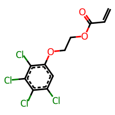 C=CC(=O)OCCOc1cc(Cl)c(Cl)c(Cl)c1Cl